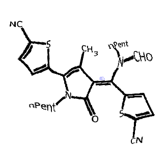 CCCCCN1C(=O)/C(=C(\c2ccc(C#N)s2)N(C=O)CCCCC)C(C)=C1c1ccc(C#N)s1